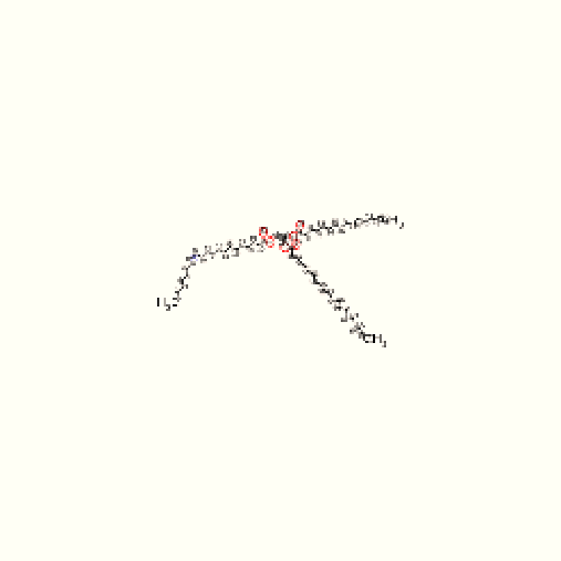 CCCCCCCC/C=C\CCCCCCCCCCCC(=O)OC[C@@H](COC(=O)CCCCCCCCCCCCCCC)OC(=O)CCCCCCCCCCCCCCCCCCCC